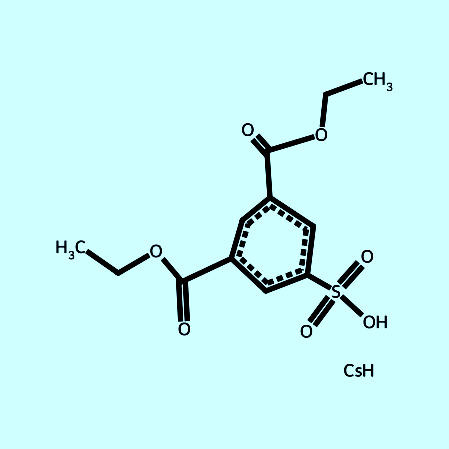 CCOC(=O)c1cc(C(=O)OCC)cc(S(=O)(=O)O)c1.[CsH]